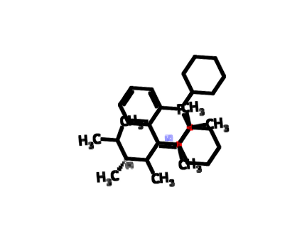 C/C(=C(/c1ccccc1P(C1CCCCC1)C1CCCCC1)C(C)[C@H](C)C(C)C)C(C)C